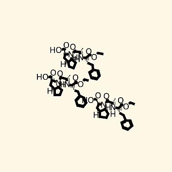 CCOC(=O)[C@H](CCc1ccccc1)N[C@@H](C)C(=O)N1[C@H](C(=O)O)C[C@@H]2CCC[C@@H]21.CCOC(=O)[C@H](CCc1ccccc1)N[C@@H](C)C(=O)N1[C@H](C(=O)O)C[C@@H]2CCC[C@@H]21.CCOC(=O)[C@H](CCc1ccccc1)N[C@@H](C)C(=O)N1[C@H](C(=O)O)C[C@@H]2CCC[C@@H]21